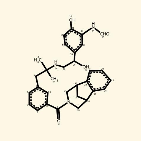 CC(C)(Cc1cccc(C(=O)N2CC3CC(C2)c2ccccc23)c1)NCC(O)c1ccc(O)c(NC=O)c1